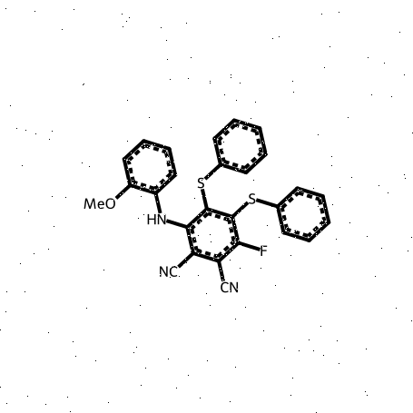 COc1ccccc1Nc1c(C#N)c(C#N)c(F)c(Sc2ccccc2)c1Sc1ccccc1